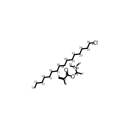 C=C(C)C(=O)OC(C)N(C)C.CCCCCCCCCCCCCCCCCl